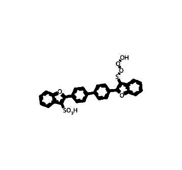 O=S(=O)(O)c1c(-c2ccc(-c3ccc(-c4oc5ccccc5c4SOOO)cc3)cc2)oc2ccccc12